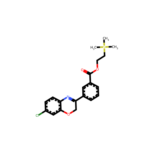 CS(C)(C)CCOC(=O)c1cccc(C2=Nc3ccc(Cl)cc3OC2)c1